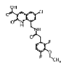 CCOc1c(F)ccc(CC(=O)NCc2cc(Cl)cc3cc(C(=O)O)c(=O)[nH]c23)c1F